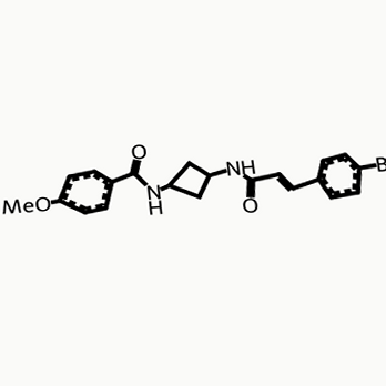 COc1ccc(C(=O)NC2CC(NC(=O)C=Cc3ccc(Br)cc3)C2)cc1